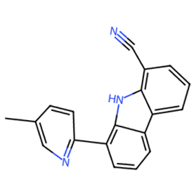 Cc1ccc(-c2cccc3c2[nH]c2c(C#N)cccc23)nc1